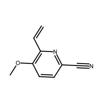 C=Cc1nc(C#N)ccc1OC